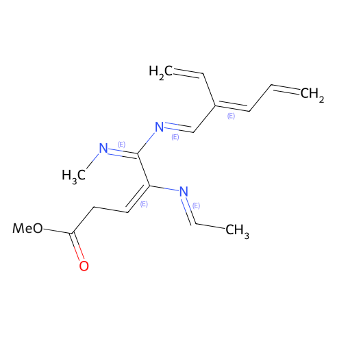 C=C/C=C(C=C)/C=N/C(=N/C)C(=C\CC(=O)OC)/N=C/C